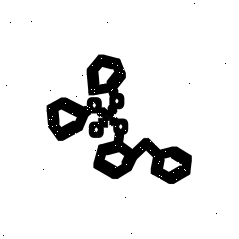 O=P(Oc1ccccc1)(Oc1ccccc1)Oc1ccccc1Cc1ccccc1